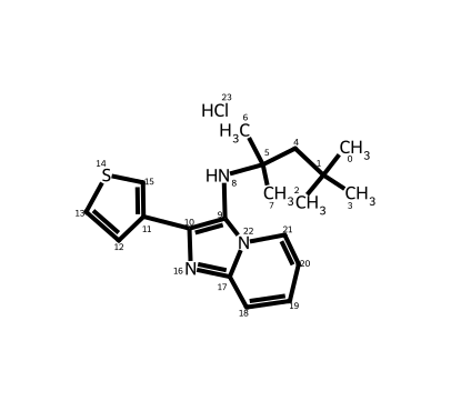 CC(C)(C)CC(C)(C)Nc1c(-c2ccsc2)nc2ccccn12.Cl